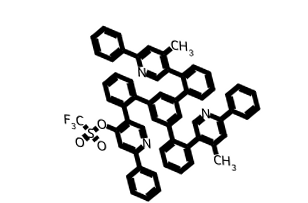 Cc1cc(-c2ccccc2)ncc1-c1ccccc1-c1cc(-c2ccccc2-c2cnc(-c3ccccc3)cc2C)cc(-c2ccccc2-c2cnc(-c3ccccc3)cc2OS(=O)(=O)C(F)(F)F)c1